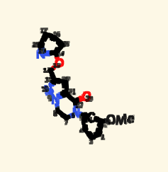 COc1cccc(N2CCn3nc(COc4ccccn4)cc3C2=O)c1